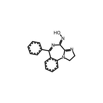 ON=C1N=C(c2ccccc2)c2ccccc2N2CCN=C12